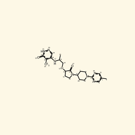 Cc1cnc(N2CCC(N3CCC(OCC(C)Nc4cn[nH]c(=O)c4C(F)(F)F)C3=O)CC2)nc1